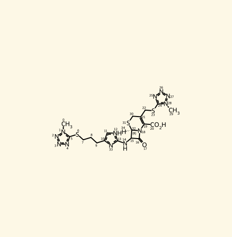 Cn1nnnc1SCCCc1c[nH]c(NC2C(=O)N3C(C(=O)O)=C(CSc4nnnn4C)CS[C@H]23)n1